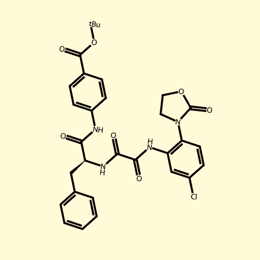 CC(C)(C)OC(=O)c1ccc(NC(=O)[C@H](Cc2ccccc2)NC(=O)C(=O)Nc2cc(Cl)ccc2N2CCOC2=O)cc1